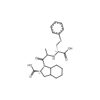 CC(N[C@H](CSc1ccccc1)C(=O)O)C(=O)N1C2CCCCC2C[C@H]1C(=O)O